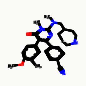 COc1ccc(-c2c(-c3ccc(C#N)cc3)nc(N(C)CC3CCCNCC3)n(C)c2=O)cc1C